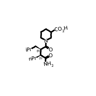 CCC[C@H](C(N)=O)[C@@H](CC(C)C)C(=O)N1CCCC(C(=O)O)C1